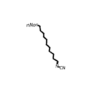 CCCCCCCCCCCCCCCCCCCC=NC#N